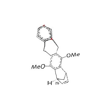 COc1c2c(c(OC)c3c1C1c4ccccc4C3c3ccccc31)[C@@H]1C=CC2C1